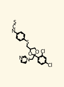 S=C=Nc1ccc(SCC2COC(Cn3ccnc3)(c3ccc(Cl)cc3Cl)O2)cc1